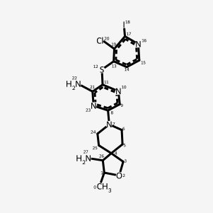 CC1OCC2(CCN(c3cnc(Sc4ccnc(I)c4Cl)c(N)n3)CC2)C1N